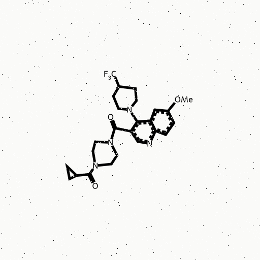 COc1ccc2ncc(C(=O)N3CCN(C(=O)C4CC4)CC3)c(N3CCC(C(F)(F)F)CC3)c2c1